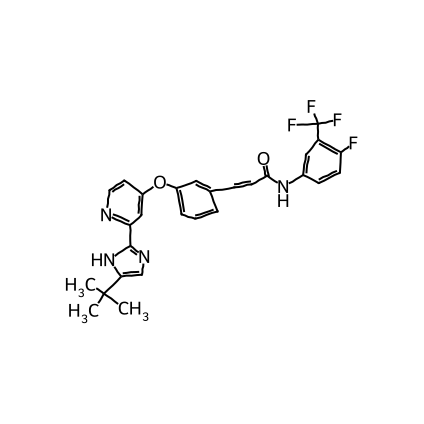 CC(C)(C)c1cnc(-c2cc(Oc3cccc(/C=C/C(=O)Nc4ccc(F)c(C(F)(F)F)c4)c3)ccn2)[nH]1